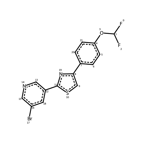 FC(F)Oc1ccc(-c2csc(-c3cncc(Br)c3)n2)cc1